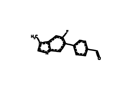 Cn1cnc2cc(-c3ccc(C=O)cc3)c(F)cc21